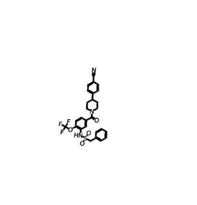 N#Cc1ccc(C2CCN(C(=O)c3ccc(OC(F)(F)F)c(NS(=O)(=O)Cc4ccccc4)c3)CC2)cc1